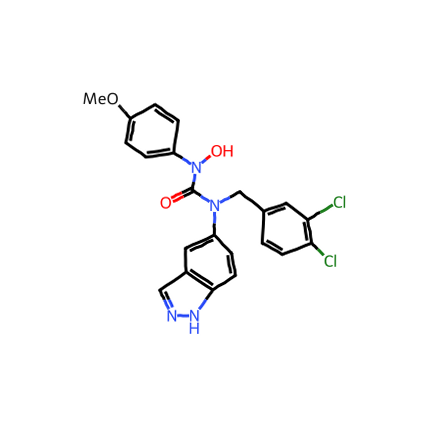 COc1ccc(N(O)C(=O)N(Cc2ccc(Cl)c(Cl)c2)c2ccc3[nH]ncc3c2)cc1